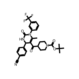 CC1=C(C(=O)C2CCN(C(=O)OC(C)(C)C)CC2)C(c2ccc(C#N)cc2)NC(=O)N1c1cccc(C(F)(F)F)c1